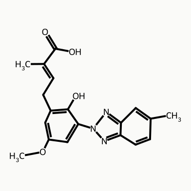 COc1cc(C/C=C(\C)C(=O)O)c(O)c(-n2nc3ccc(C)cc3n2)c1